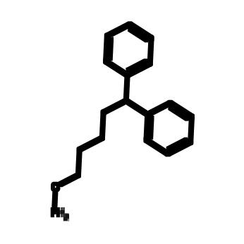 POCCCCC(c1ccccc1)c1ccccc1